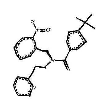 CC(C)(C)c1ccc(C(=O)N(CCc2ccccn2)Cc2ccccc2[N+](=O)[O-])cc1